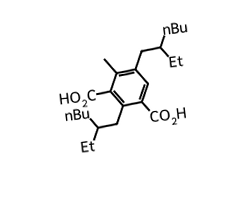 CCCCC(CC)Cc1cc(C(=O)O)c(CC(CC)CCCC)c(C(=O)O)c1C